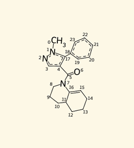 Cn1ncc(C(=O)N2CCCC3CCCC=C32)c1-c1ccccc1